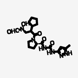 Cc1cc(NC(=O)NC(=O)[C@@H]2CCCN2C(=O)C(CN(O)C=O)C2CCCC2)n[nH]1